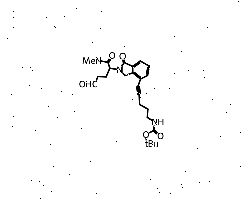 CNC(=O)C(CCC=O)N1Cc2c(C#CCCCNC(=O)OC(C)(C)C)cccc2C1=O